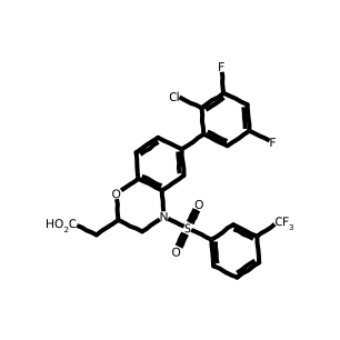 O=C(O)CC1CN(S(=O)(=O)c2cccc(C(F)(F)F)c2)c2cc(-c3cc(F)cc(F)c3Cl)ccc2O1